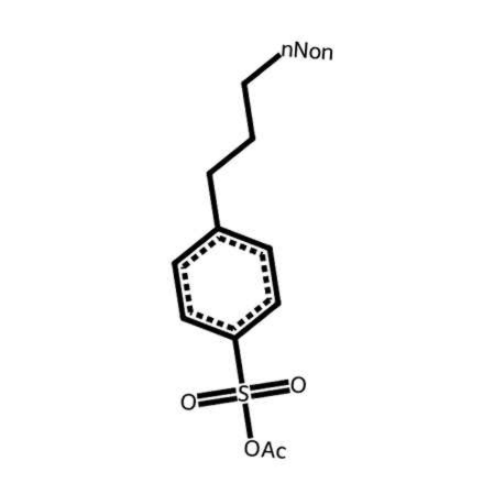 CCCCCCCCCCCCc1ccc(S(=O)(=O)OC(C)=O)cc1